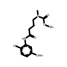 COc1ccc(Cl)c(NC(=O)CCCN(C)C(=O)OC(C)(C)C)c1